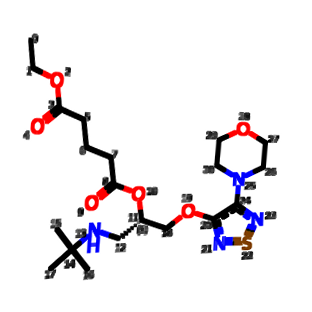 CCOC(=O)CCCC(=O)O[C@@H](CNC(C)(C)C)COc1nsnc1N1CCOCC1